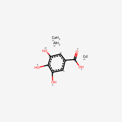 O=C(O)c1cc(O)c(O)c(O)c1.[AlH3].[GaH3].[Gd]